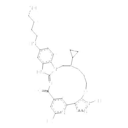 Cc1cc2cc(n1)-c1cnn(C)c1OCCCC(C1CC1)CN1/C(=N/C2=O)Nc2cc(NCCCCN)ccc21